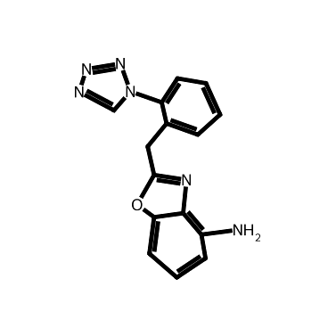 Nc1cccc2oc(Cc3ccccc3-n3cnnn3)nc12